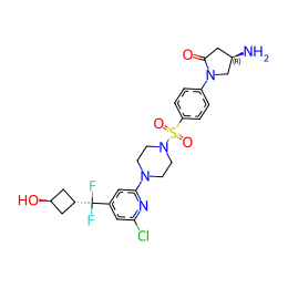 N[C@@H]1CC(=O)N(c2ccc(S(=O)(=O)N3CCN(c4cc(C(F)(F)[C@H]5C[C@H](O)C5)cc(Cl)n4)CC3)cc2)C1